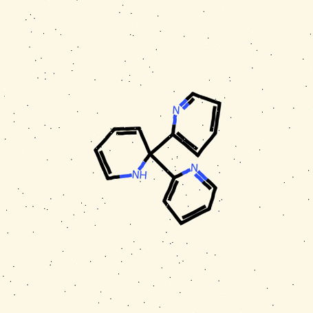 [C]1=CC(c2ccccn2)(c2ccccn2)NC=C1